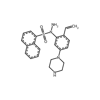 C=Cc1ccc(N2CCNCC2)cc1N(N)S(=O)(=O)c1cccc2ccccc12